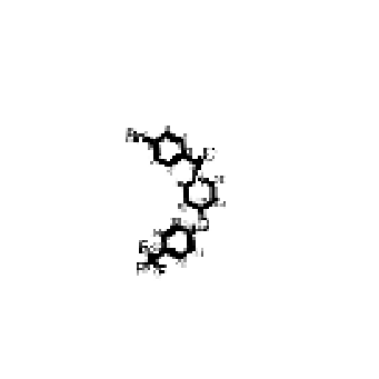 O=C(c1ccc(Br)cc1)N1CCC(Oc2ccc(C(F)(F)F)cc2)CC1